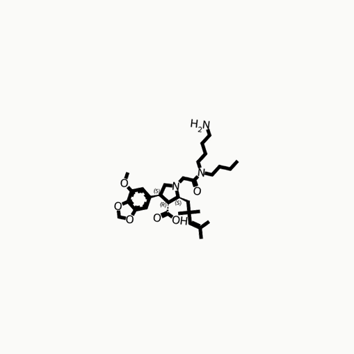 CCCCN(CCCCN)C(=O)CN1C[C@H](c2cc(OC)c3c(c2)OCO3)[C@@H](C(=O)O)[C@@H]1CC(C)(C)C=C(C)C